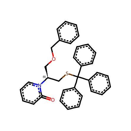 O=c1ccccn1[C@@H](COCc1ccccc1)CSC(c1ccccc1)(c1ccccc1)c1ccccc1